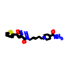 NC(=O)C1CCN(CCCCCNC(=O)c2cc(-c3cccs3)on2)CC1